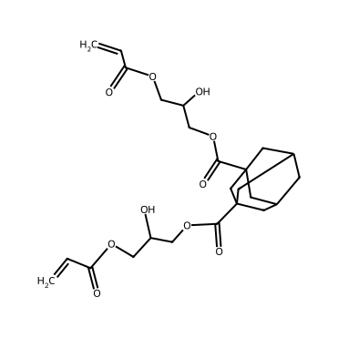 C=CC(=O)OCC(O)COC(=O)C12CC3CC(C1)CC(C(=O)OCC(O)COC(=O)C=C)(C3)C2